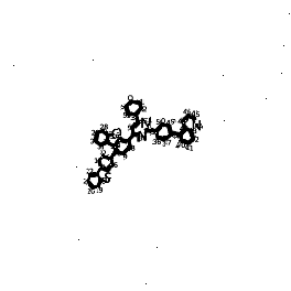 c1ccc(-c2cc(-c3ccc(-c4ccc5c(c4)sc4ccccc45)c4c3oc3ccccc34)nc(-c3ccc(-c4cccc5ncccc45)cc3)n2)cc1